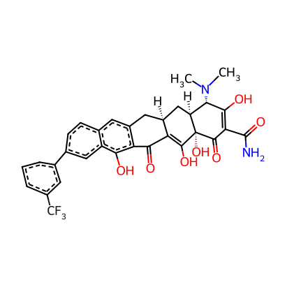 CN(C)[C@@H]1C(O)=C(C(N)=O)C(=O)[C@@]2(O)C(O)=C3C(=O)c4c(cc5ccc(-c6cccc(C(F)(F)F)c6)cc5c4O)C[C@H]3C[C@@H]12